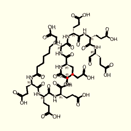 CCCCCCC(=O)N[C@H](CCC(=O)O)C(=O)N[C@H](CCC(=O)O)C(=O)N[C@H](CCC(=O)O)C(=O)N[C@H](CCC(=O)O)C(=O)N[C@H](CCC(=O)O)C(=O)N[C@H](CCC(=O)O)C(=O)N[C@H](CCC(=O)O)C(=O)N[C@H](CCC(=O)O)C(=O)N[C@@H](C=O)CCC(=O)O